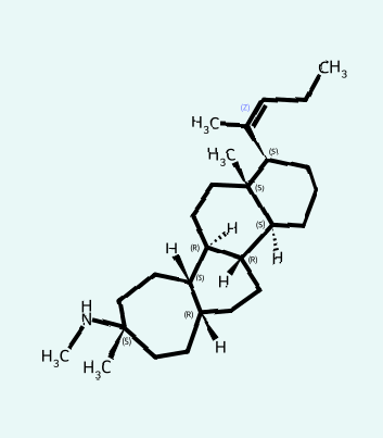 CC/C=C(/C)[C@H]1CCC[C@H]2[C@@H]3CC[C@@H]4CC[C@](C)(NC)CC[C@@H]4[C@H]3CC[C@]12C